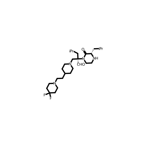 CC(C)C[C@@H]1NCCN([C@](C=O)(CC(C)C)CN2CCC(CCN3CCC(F)(F)CC3)CC2)C1=O